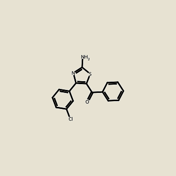 Nc1nc(-c2cccc(Cl)c2)c(C(=O)c2ccccc2)s1